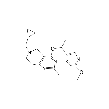 COc1ccc(C(C)Oc2nc(C)nc3c2CN(CC2CC2)CC3)cn1